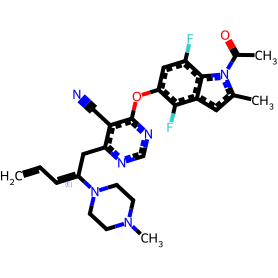 C=C/C=C(\Cc1ncnc(Oc2cc(F)c3c(cc(C)n3C(C)=O)c2F)c1C#N)N1CCN(C)CC1